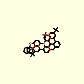 CC(C)(C)c1cc(-c2cccc3cccc(-c4ccccc4N(c4ccc5oc6ccccc6c5c4)c4ccccc4C4=CC5C(C=C4)c4ccccc4C5(C)C)c23)cc(C(C)(C)C)c1